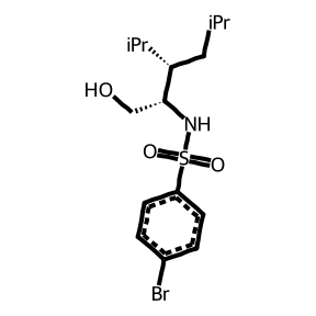 CC(C)C[C@@H](C(C)C)[C@@H](CO)NS(=O)(=O)c1ccc(Br)cc1